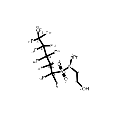 CCCN(CCO)S(=O)(=O)C(F)(F)C(F)(F)C(F)(F)C(F)(F)C(F)(F)C(F)(F)F